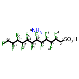 N.O=S(=O)(O)CC(F)C(F)C(F)C(F)C(F)C(F)C(F)C(F)C(F)C(F)CF